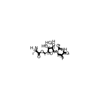 C[C@H](N)C(=O)OC[C@@H]1O[C@H](n2cc(F)c(=O)[nH]c2=O)C(O)C1O.Cl